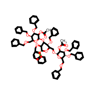 CC(=O)OC1[C@@H](O[C@@H]2C(OCc3ccccc3)[C@@H](Sc3ccccc3)OC(CO[C@H]3OC(COCc4ccccc4)[C@@H](OCc4ccccc4)[C@@H](OCc4ccccc4)C3OC(C)=O)[C@H]2OCc2ccccc2)OC(COCc2ccccc2)[C@@H](OCc2ccccc2)[C@@H]1OCc1ccccc1